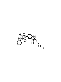 CCCCc1nc2ccc(N(C)C(=O)NC3CCCCC3)cc2[nH]1